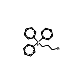 BrCCC[PH](c1ccccc1)(c1ccccc1)c1ccccc1